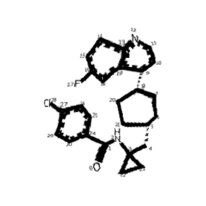 O=C(NC1(C[C@H]2CC[C@@H](c3ccnc4ccc(F)cc43)CC2)CC1)c1ccc(Cl)cc1